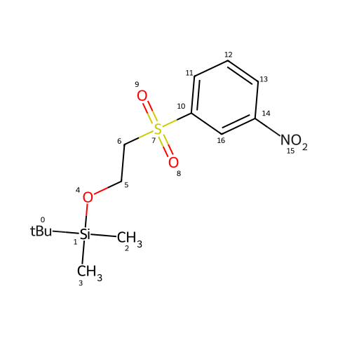 CC(C)(C)[Si](C)(C)OCCS(=O)(=O)c1cccc([N+](=O)[O-])c1